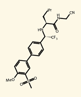 COc1ccc(-c2ccc([C@H](N[C@@H](CC(C)C)C(=O)NCC#N)C(F)(F)F)cc2)cc1S(C)(=O)=O